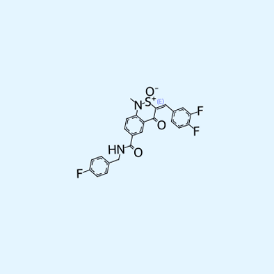 CN1c2ccc(C(=O)NCc3ccc(F)cc3)cc2C(=O)/C(=C\c2ccc(F)c(F)c2)[S+]1[O-]